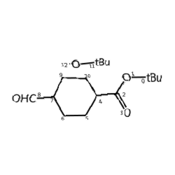 CC(C)(C)OC(=O)C1CCC(C=O)CC1.CC(C)(C)[O]